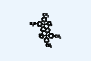 Cc1ccc(C2(c3ccc(C)cc3)c3ccsc3-c3ccc4c5c(ccc2c35)-c2sccc2C4(c2ccc(C)cc2)c2ccc(C)cc2)cc1